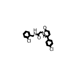 O=C(Cn1nc(-c2ccc(Cl)cc2)ccc1=O)NCc1ccccc1Cl